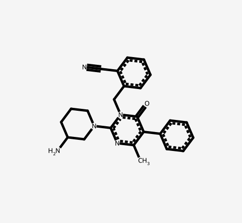 Cc1nc(N2CCCC(N)C2)n(Cc2ccccc2C#N)c(=O)c1-c1ccccc1